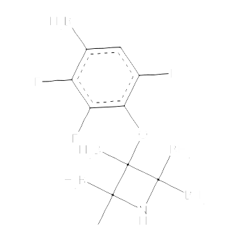 Bc1cc(F)c(OC2(B)C(B)(B)NC2(B)C)c(F)c1F